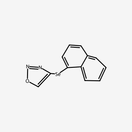 c1ccc2c([Se]c3conn3)cccc2c1